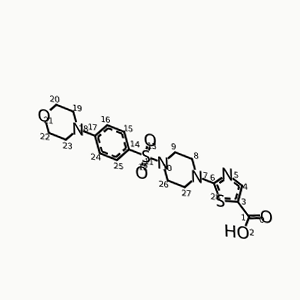 O=C(O)c1cnc(N2CCN(S(=O)(=O)c3ccc(N4CCOCC4)cc3)CC2)s1